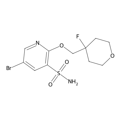 NS(=O)(=O)c1cc(Br)cnc1OCC1(F)CCOCC1